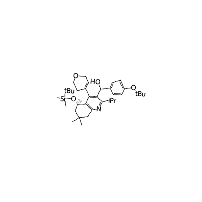 CC(C)c1nc2c(c(C3=CCOCC3)c1C(O)c1ccc(OC(C)(C)C)cc1)[C@@H](O[Si](C)(C)C(C)(C)C)CC(C)(C)C2